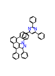 c1ccc(-c2cc(-c3ccc(-c4cccc5cc(-c6ccccc6)c6c(-c7ccccc7)nn(-c7ccccc7)c6c45)cc3)nc(-c3ccccc3)n2)cc1